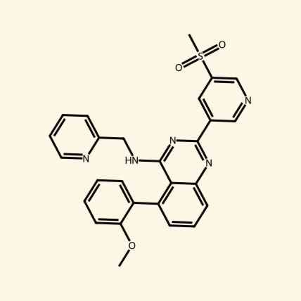 COc1ccccc1-c1cccc2nc(-c3cncc(S(C)(=O)=O)c3)nc(NCc3ccccn3)c12